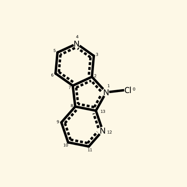 Cln1c2cnccc2c2cccnc21